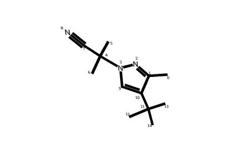 Cc1nn(C(C)(C)C#N)cc1C(C)(C)C